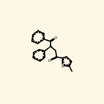 Cc1ccc(C(=O)CC(C(=O)c2ccccc2)c2ccccc2)s1